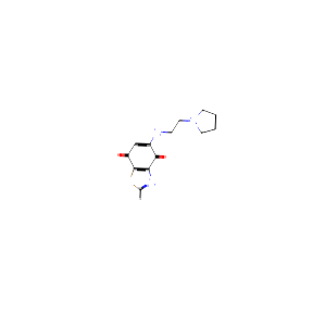 Cc1nc2c(s1)C(=O)C=C(NCCN1CCCC1)C2=O